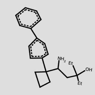 CCC(O)(CC)CC(N)C1(c2ccc(-c3ccccc3)cc2)CCC1